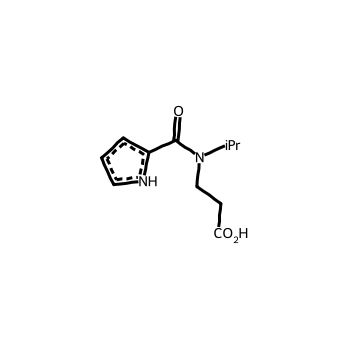 CC(C)N(CCC(=O)O)C(=O)c1ccc[nH]1